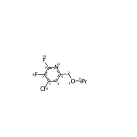 CC(C)OCc1cc(Cl)c(F)c(F)n1